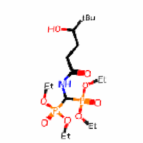 CCOP(=O)(OCC)C(NC(=O)CCC(O)C(C)(C)C)P(=O)(OCC)OCC